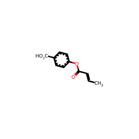 C/C=C/C(=O)Oc1ccc(C(=O)O)cc1